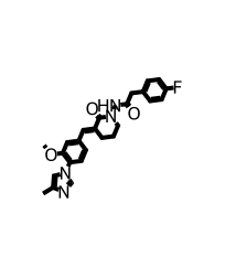 COc1cc(/C=C2\CCCN(NC(=O)Cc3ccc(F)cc3)C2=O)ccc1-n1cnc(C)c1